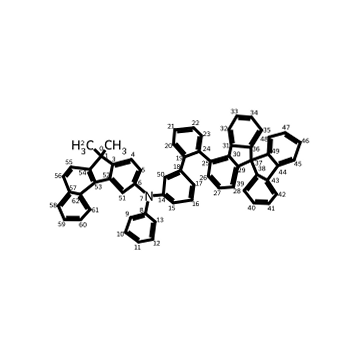 CC1(C)c2ccc(N(c3ccccc3)c3cccc(-c4ccccc4-c4cccc5c4-c4ccccc4C54c5ccccc5-c5ccccc54)c3)cc2-c2c1ccc1ccccc21